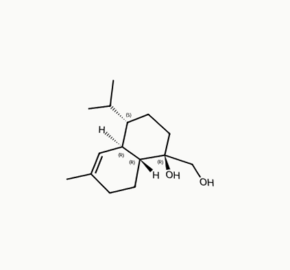 CC1=C[C@@H]2[C@@H](CC1)[C@@](O)(CO)CC[C@H]2C(C)C